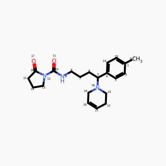 Cc1ccc(C(CCCNC(=O)N2CCCC2=O)N2CC=CCC2)cc1